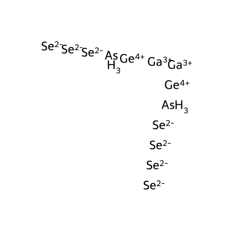 [AsH3].[AsH3].[Ga+3].[Ga+3].[Ge+4].[Ge+4].[Se-2].[Se-2].[Se-2].[Se-2].[Se-2].[Se-2].[Se-2]